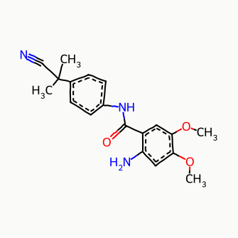 COc1cc(N)c(C(=O)Nc2ccc(C(C)(C)C#N)cc2)cc1OC